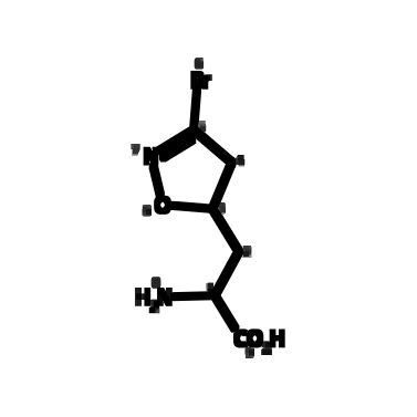 NC(CC1CC(Br)=NO1)C(=O)O